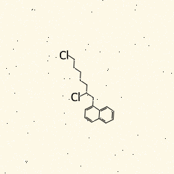 ClCCCCCC(Cl)Cc1cccc2ccccc12